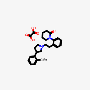 COc1ccccc1C1CCN(CCc2ccccc2N2CCCCC2=O)C1.O=C(O)C(=O)O